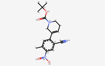 Cc1cc(C2=CCCN(C(=O)OC(C)(C)C)C2)c(C#N)cc1[N+](=O)[O-]